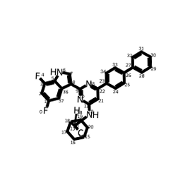 Fc1cc(F)c2[nH]cc(-c3nc(N[C@@H]4CC5CCC4CC5)cc(-c4ccc(-c5ccccc5)cc4)n3)c2c1